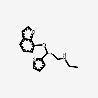 CCNCC[C@@H](Oc1cccc2ccoc12)c1cccs1